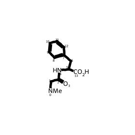 CNCC(=O)NC(Cc1ccccc1)C(=O)O